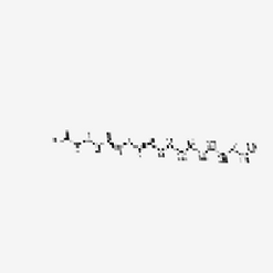 CCCCCC=CCC=CCCCCCCCCCC